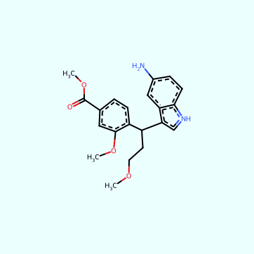 COCCC(c1ccc(C(=O)OC)cc1OC)c1c[nH]c2ccc(N)cc12